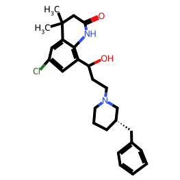 CC1(C)CC(=O)Nc2c(C(O)CCN3CCC[C@@H](Cc4ccccc4)C3)cc(Cl)cc21